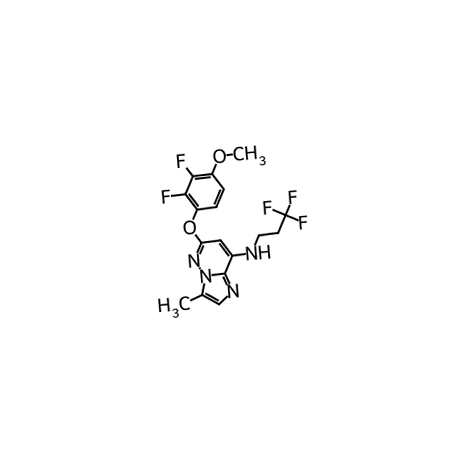 COc1ccc(Oc2cc(NCCC(F)(F)F)c3ncc(C)n3n2)c(F)c1F